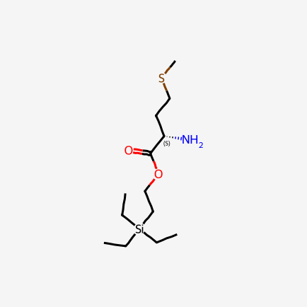 CC[Si](CC)(CC)CCOC(=O)[C@@H](N)CCSC